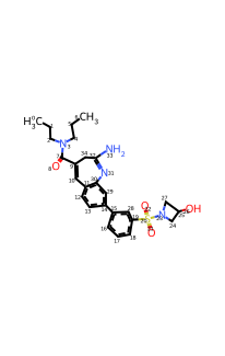 CCCN(CCC)C(=O)C1=Cc2ccc(-c3cccc(S(=O)(=O)N4CC(O)C4)c3)cc2N=C(N)C1